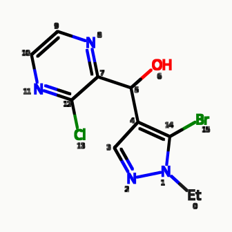 CCn1ncc(C(O)c2nccnc2Cl)c1Br